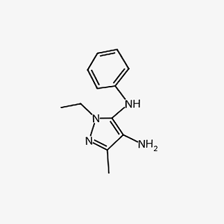 CCn1nc(C)c(N)c1Nc1ccccc1